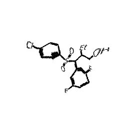 CCC(CO)C(c1cc(F)ccc1F)S(=O)(=O)c1ccc(Cl)cc1